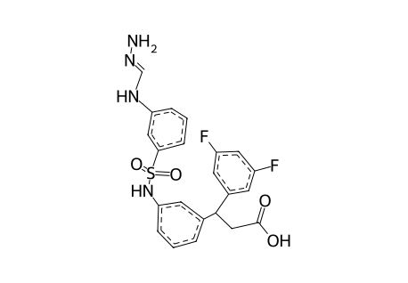 NN=CNc1cccc(S(=O)(=O)Nc2cccc(C(CC(=O)O)c3cc(F)cc(F)c3)c2)c1